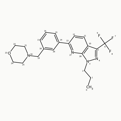 CCCn1nc(C(F)(F)F)c2ccc(-c3cccc(CN4CCOCC4)c3)nc21